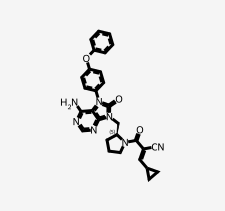 N#CC(=CC1CC1)C(=O)N1CCC[C@H]1Cn1c(=O)n(-c2ccc(Oc3ccccc3)cc2)c2c(N)ncnc21